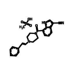 CS(=O)(=O)O.N#Cc1c[nH]c2c(C(=O)N3CCN(C=Cc4ccccc4)CC3)cccc12